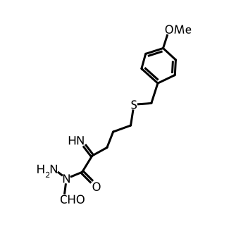 COc1ccc(CSCCCC(=N)C(=O)N(N)C=O)cc1